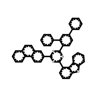 c1ccc(-c2ccc(-c3nc(-c4ccc5c(ccc6ccccc65)c4)nc(-c4cccc5oc6ccccc6c45)n3)c(-c3ccccc3)c2)cc1